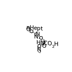 CCCCCCCOc1ccc(-c2cnc(-c3ccc(C[C@H](NC(=O)c4cccc(N5CCCC5)c4)C(=O)O)cc3)nc2)cc1